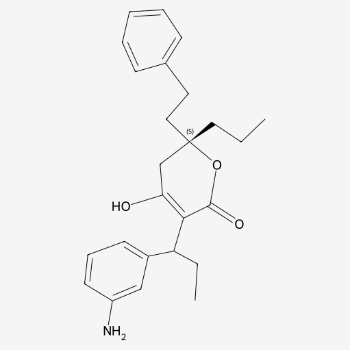 CCC[C@]1(CCc2ccccc2)CC(O)=C(C(CC)c2cccc(N)c2)C(=O)O1